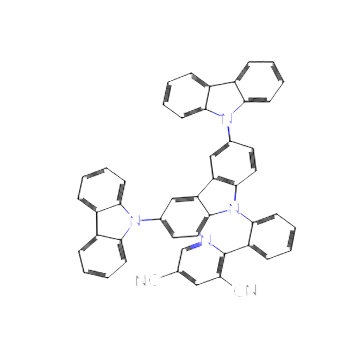 N#Cc1cnc(-c2ccccc2-n2c3ccc(-n4c5ccccc5c5ccccc54)cc3c3cc(-n4c5ccccc5c5ccccc54)ccc32)c(C#N)c1